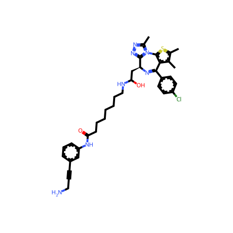 Cc1sc2c(c1C)C(c1ccc(Cl)cc1)=N[C@@H](CC(O)NCCCCCCCC(=O)Nc1cccc(C#CCN)c1)c1nnc(C)n1-2